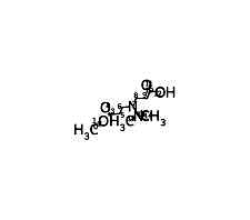 CCOC(=O)CCN(CCC(=O)O)N(C)C